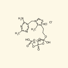 Cc1ncc(C[n+]2csc(CCOP(=O)(O)OP(=O)(O)OP(=O)(O)O)c2C)c(N)n1.Cl.[Cl-]